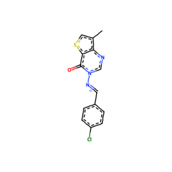 Cc1csc2c(=O)n(/N=C/c3ccc(Cl)cc3)cnc12